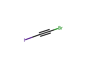 BrC#CI